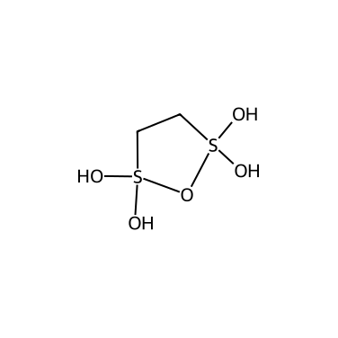 OS1(O)CCS(O)(O)O1